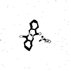 C[S+](C)[O-].O=C1c2ccccc2CN2C(=O)c3ccccc3CN12.[OH]